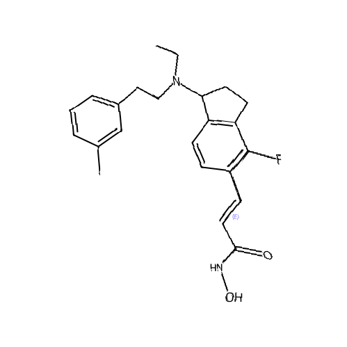 CCN(CCc1cccc(C)c1)C1CCc2c1ccc(/C=C/C(=O)NO)c2F